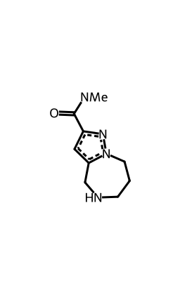 CNC(=O)c1cc2n(n1)CCCNC2